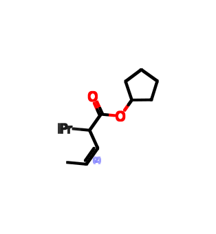 C/C=C\C(C(=O)OC1CCCC1)C(C)C